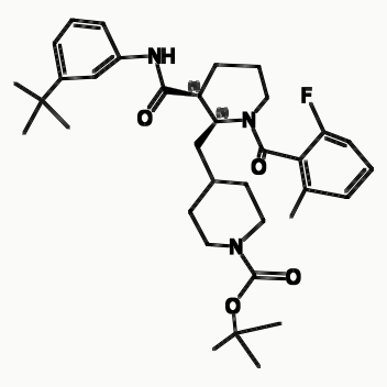 Cc1cccc(F)c1C(=O)N1CCC[C@H](C(=O)Nc2cccc(C(C)(C)C)c2)[C@@H]1CC1CCN(C(=O)OC(C)(C)C)CC1